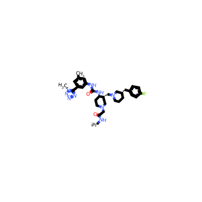 Cc1cc(NC(=O)N[C@@H]2CCN(CC(=O)NC(C)C)C[C@H]2CN2CCC[C@@H](Cc3ccc(F)cc3)C2)cc(-c2nnnn2C)c1